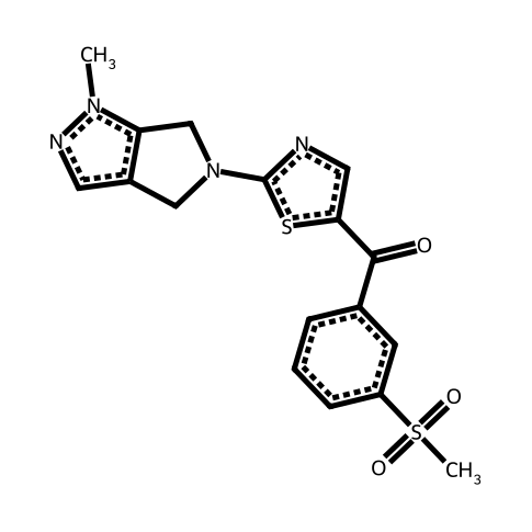 Cn1ncc2c1CN(c1ncc(C(=O)c3cccc(S(C)(=O)=O)c3)s1)C2